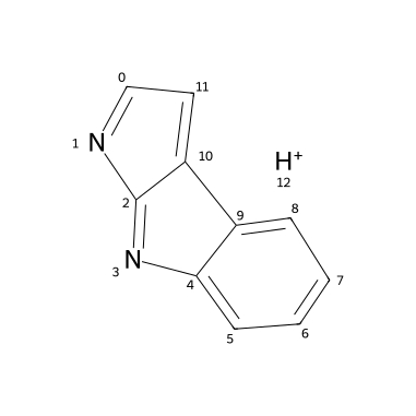 C1=NC2=Nc3ccccc3C2=C1.[H+]